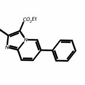 CCOC(=O)c1c(C)nc2ccc(-c3ccccc3)cn12